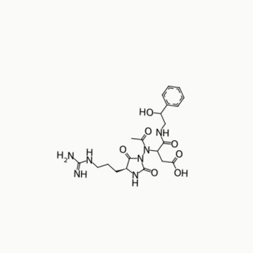 CC(=O)N(C(CC(=O)O)C(=O)NCC(O)c1ccccc1)N1C(=O)N[C@@H](CCCNC(=N)N)C1=O